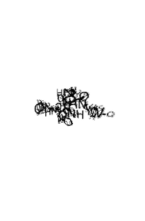 CN1CCN(CCNC(=O)c2cn(Cc3c[nH]c4c(=O)n(C)cc(C(=O)NCCCN5CCOCC5)c34)c(=O)c3[nH]ccc23)CC1